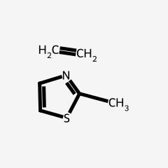 C=C.Cc1nccs1